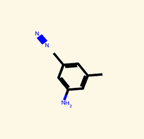 Cc1cc(C)cc(N)c1.N#N